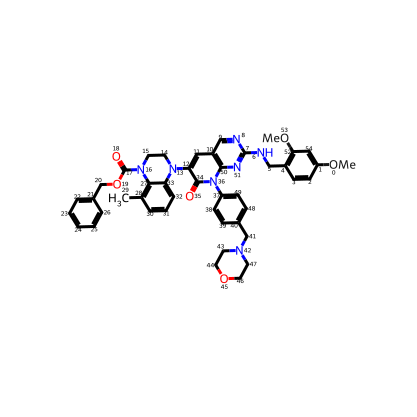 COc1ccc(CNc2ncc3cc(N4CCN(C(=O)OCc5ccccc5)c5c(C)cccc54)c(=O)n(-c4ccc(CN5CCOCC5)cc4)c3n2)c(OC)c1